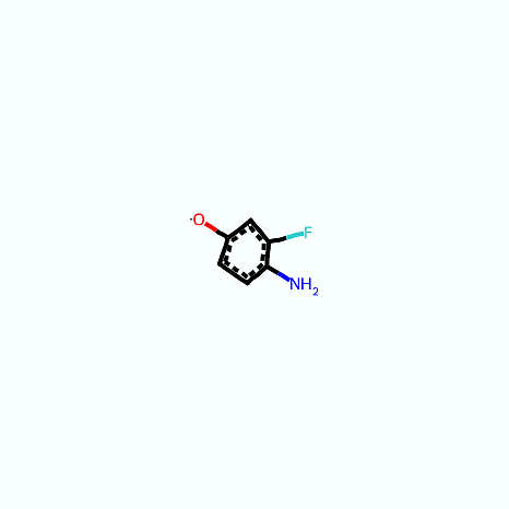 Nc1ccc([O])cc1F